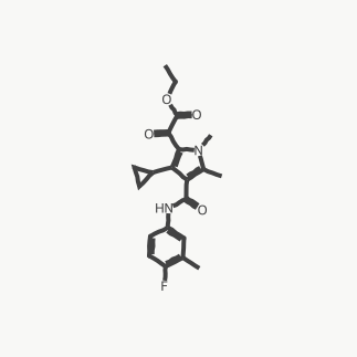 CCOC(=O)C(=O)c1c(C2CC2)c(C(=O)Nc2ccc(F)c(C)c2)c(C)n1C